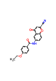 CCOc1ccc(C(=O)Nc2ccc3oc(C#N)cc(=O)c3c2)cc1